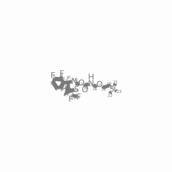 C[C@]1(c2cccc(F)c2F)N=C(OC(=O)NCOCC[Si](C)(C)C)S[C@@]2(C(F)F)C[C@@H]12